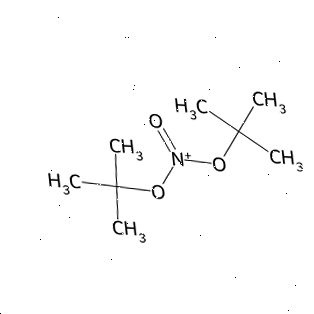 CC(C)(C)O[N+](=O)OC(C)(C)C